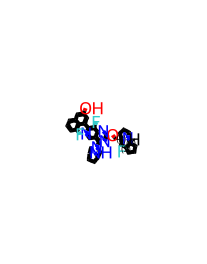 Oc1cc(-c2ncc3c(N4CC5CCC(C4)N5)nc(OC[C@]45CCCN4[C@@H]4CCC[C@]4(F)C5)nc3c2F)c2c(F)cccc2c1